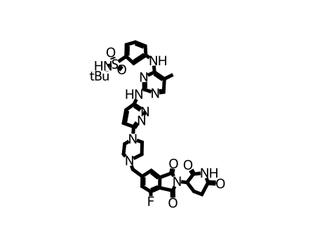 Cc1cnc(Nc2ccc(N3CCN(Cc4cc(F)c5c(c4)C(=O)N(C4CCC(=O)NC4=O)C5=O)CC3)nn2)nc1Nc1cccc(S(=O)(=O)NC(C)(C)C)c1